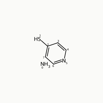 N.Sc1ccncc1